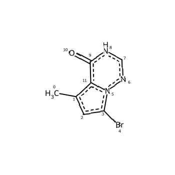 Cc1cc(Br)n2nc[nH]c(=O)c12